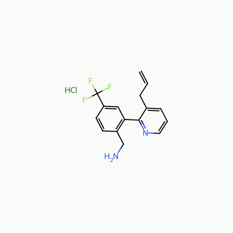 C=CCc1cccnc1-c1cc(C(F)(F)F)ccc1CN.Cl